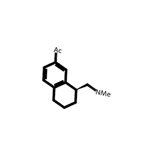 CNC[C@H]1CCCc2ccc(C(C)=O)cc21